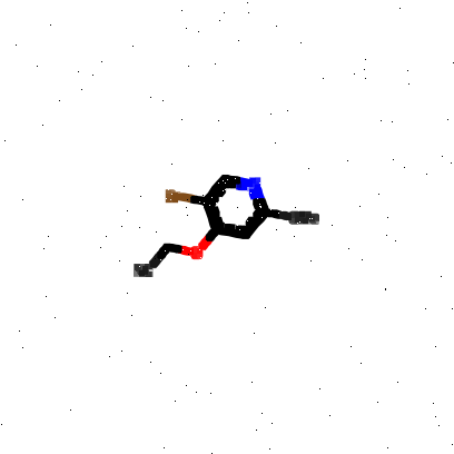 COc1cc(OCC#N)c(Br)cn1